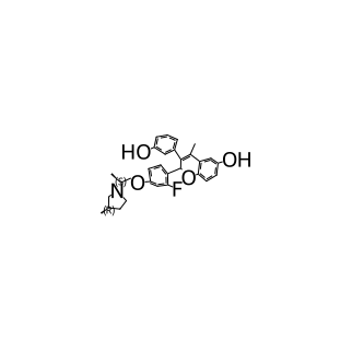 CC1=C(c2cccc(O)c2)C(c2ccc(OC[C@H](C)N3CC[C@@H](C)C3)cc2F)Oc2ccc(O)cc21